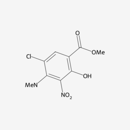 CNc1c(Cl)cc(C(=O)OC)c(O)c1[N+](=O)[O-]